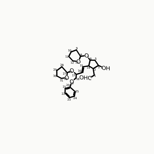 O=CCC1C(O)CC(OC2CCCCO2)C1C=CC(COc1ccccc1)OC1CCCCO1